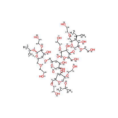 CC(C)O[C@@H]1OC(COCCO)[C@@H](OCC2O[C@@H](O[C@H]3C(COCCO)O[C@@H](OC(C)C)C(OCCO)C3O)C(O)C(O)[C@H]2O[C@@H]2OC(CO)[C@H](O[C@@H]3OC(COCCO)[C@@H](C(C)C)C(O)C3OCCO)C(O)C2OCCO)C(O)C1OCCO